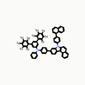 [2H]c1c([2H])c([2H])c(-c2cc(-c3c([2H])c([2H])c([2H])c([2H])c3[2H])cc(N(c3ccccc3)c3ccc(-c4ccc5c6c7ccccc7ccc6n(-c6ccc(-c7cccc8ccccc78)cc6)c5c4)cc3)c2)c([2H])c1[2H]